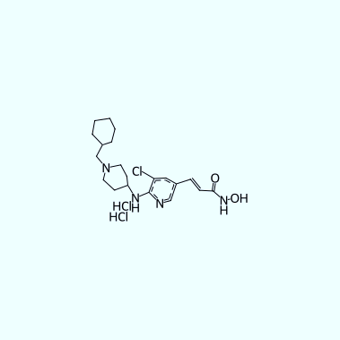 Cl.Cl.O=C(C=Cc1cnc(NC2CCN(CC3CCCCC3)CC2)c(Cl)c1)NO